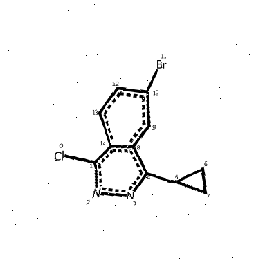 Clc1nnc(C2CC2)c2cc(Br)ccc12